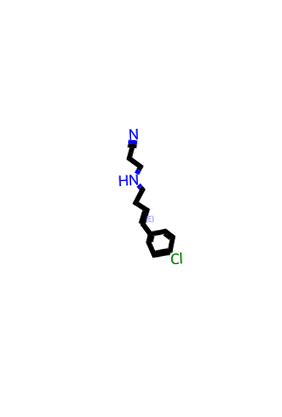 N#CCCNCC/C=C/c1ccc(Cl)cc1